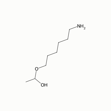 CC(O)OCCCCCCN